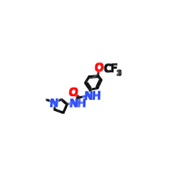 CN1CC[C@@H](NC(=O)Nc2ccc(OC(F)(F)F)cc2)C1